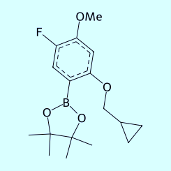 COc1cc(OCC2CC2)c(B2OC(C)(C)C(C)(C)O2)cc1F